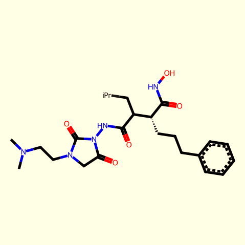 CC(C)CC(C(=O)NN1C(=O)CN(CCN(C)C)C1=O)[C@@H](CCCc1ccccc1)C(=O)NO